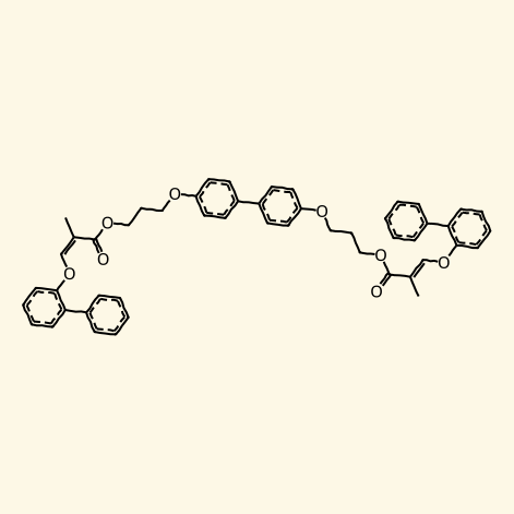 CC(=COc1ccccc1-c1ccccc1)C(=O)OCCCOc1ccc(-c2ccc(OCCCOC(=O)C(C)=COc3ccccc3-c3ccccc3)cc2)cc1